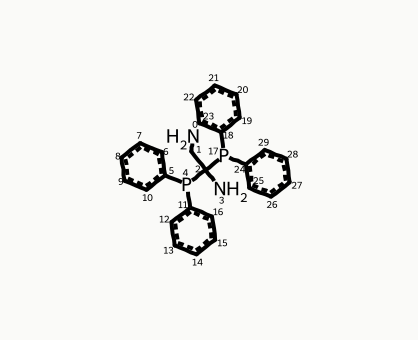 NCC(N)(P(c1ccccc1)c1ccccc1)P(c1ccccc1)c1ccccc1